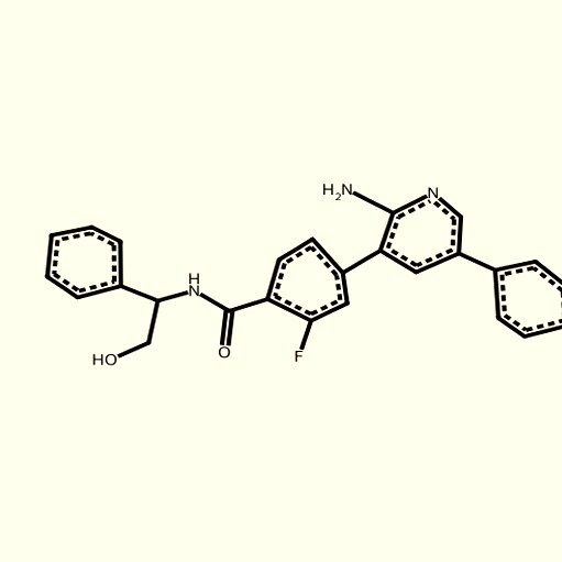 Nc1ncc(-c2ccncc2)cc1-c1ccc(C(=O)NC(CO)c2ccccc2)c(F)c1